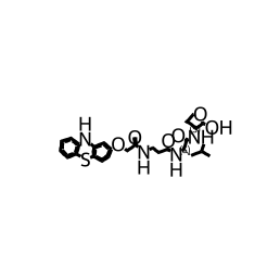 CC(C)C[C@H](NC(=O)CCNC(=O)COc1ccc2c(c1)Nc1ccccc1S2)C(=O)N[C@H]1CCOC1O